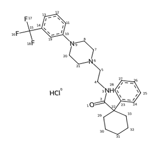 Cl.O=C(NCCN1CCN(c2cccc(C(F)(F)F)c2)CC1)C1(c2ccccc2)CCCCC1